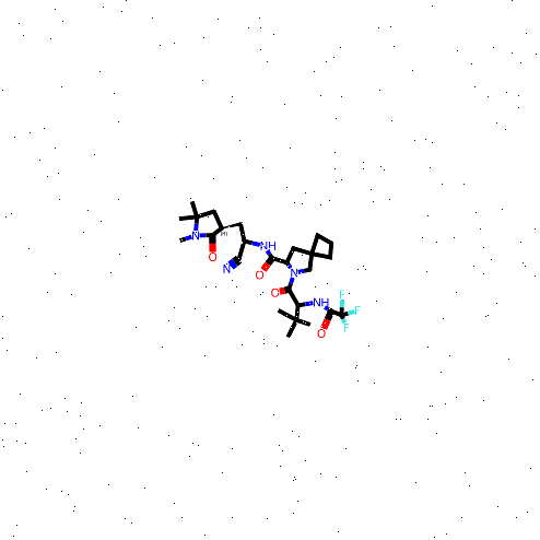 CN1C(=O)[C@H](CC(C#N)NC(=O)C2CC3(CCC3)CN2C(=O)C(NC(=O)C(F)(F)F)C(C)(C)C)CC1(C)C